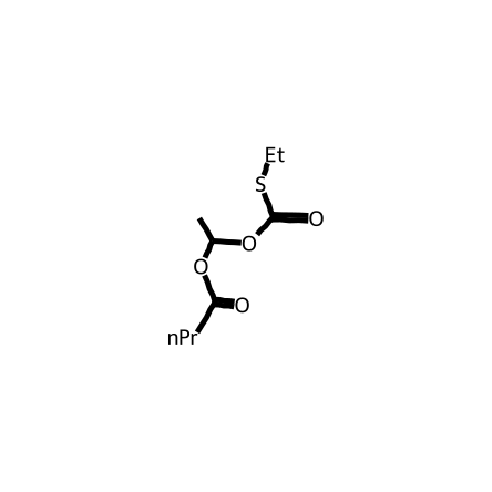 CCCC(=O)OC(C)OC(=O)SCC